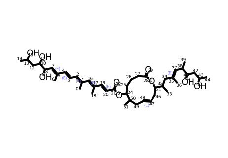 CC(=C\C=C\C(C)=C\C(O)C(O)CC(C)O)/C=C(C)/C=C/C(=O)OC1CCCC(=O)OC(C(C)C/C(C)=C/C(C)C(O)CC(C)O)C/C=C/CC1C